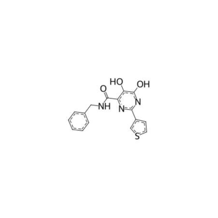 O=C(NCc1ccccc1)c1nc(-c2ccsc2)nc(O)c1O